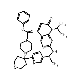 CC(C)n1c(=O)ccc2cnc(N[C@@H](C)c3ccc(C4(N5CCN(C(=O)Oc6ccccc6)CC5)CCOCC4)nc3)nc21